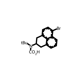 CC(C)(C)N(C(=O)O)C1Cc2cccc3c(Br)ccc(c23)C1